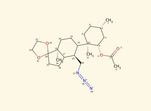 CC(=O)O[C@H]1C[C@@H](C)CC[C@]1(C)C1CC[C@@]2(C)C(CCC23OCCO3)[C@@H]1CN=[N+]=[N-]